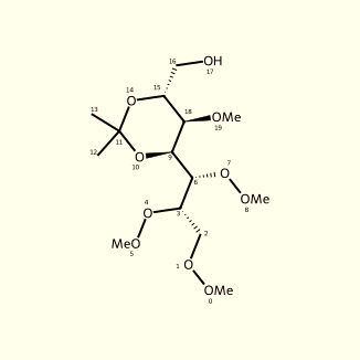 COOC[C@H](OOC)[C@@H](OOC)[C@H]1OC(C)(C)O[C@H](CO)[C@H]1OC